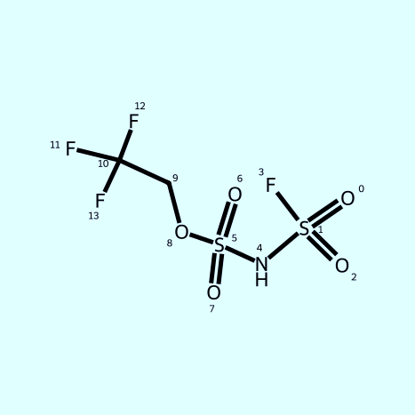 O=S(=O)(F)NS(=O)(=O)OCC(F)(F)F